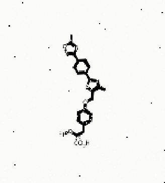 CCO[C@@H](Cc1ccc(OCc2sc(-c3ccc(-c4noc(C)n4)cc3)cc2C)cc1)C(=O)O